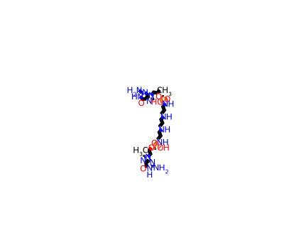 CC(Cn1cnc2c(=O)[nH]c(N)nc21)OCP(=O)(O)NCCCNCCCNCCCNP(=O)(O)COC(C)Cn1cnc2c(=O)[nH]c(N)nc21